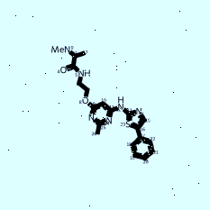 CNC(C)C(=O)NCCOc1cc(Nc2ncc(-c3ccccc3)s2)nc(C)n1